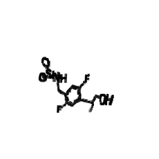 CC(CO)c1cc(F)c(CN[SH](=O)=O)cc1F